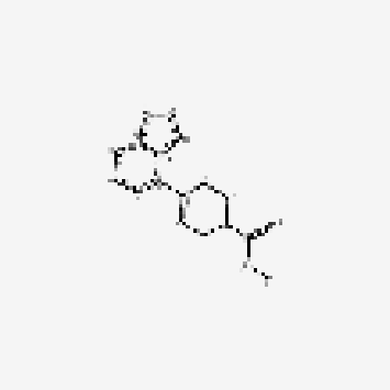 COC(=O)C1CC=C(c2cccn3nccc23)CC1